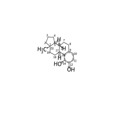 C[C@@]12CCC[C@H]1[C@@H]1CCc3ccc(O)c(O)c3[C@H]1CC2